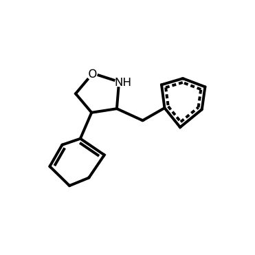 C1=CC(C2CONC2Cc2ccccc2)=CCC1